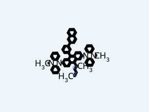 C/C=C\C=C(/C)c1c2cc(N3c4ccccc4N(C)c4ccccc43)ccc2c(-c2cccc(-c3ccc4ccccc4c3)c2)c2cc(N3c4ccccc4N(C)c4ccccc43)ccc12